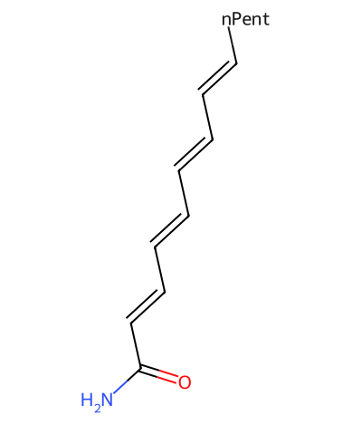 CCCCC/C=C/C=C/C=C/C=C/C(N)=O